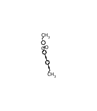 CCCC#Cc1ccc(C#Cc2ccc(OC(=O)[C@H]3CC[C@H](CCC)CC3)cc2)cc1